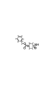 N=S1(=O)CCN(C(=O)OCc2ccccc2)CC1